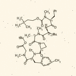 CC[C@H](C)[C@H](NC(=O)[C@H](CC(C)C)N(C)C(=O)OCCS(C)(C)C)C(=O)N(C)[C@@H](C)C(=O)N1CC[C@H]1C(=O)N(CC)[C@@H](Cc1ccc(C)cc1)C(=O)N(C)CC(=O)OC(C)(C)C